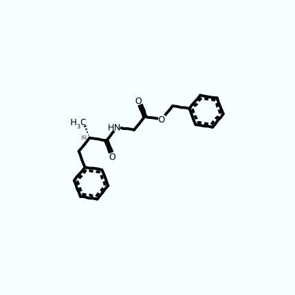 C[C@@H](Cc1ccccc1)C(=O)NCC(=O)OCc1ccccc1